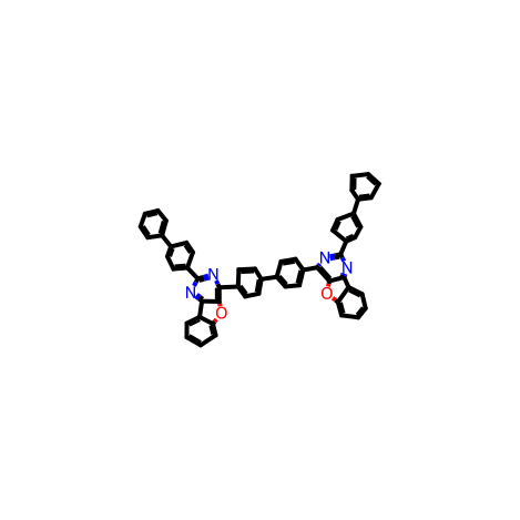 c1ccc(-c2ccc(-c3nc(-c4ccc(-c5ccc(-c6nc(-c7ccc(-c8ccccc8)cc7)nc7c6oc6ccccc67)cc5)cc4)c4oc5ccccc5c4n3)cc2)cc1